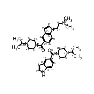 CC(C)N1CCN(C(=O)c2ccc3[nH]ccc3c2)CC1.CC(C)N1CCN(C(=O)c2ccc3c(ccn3CCN(C)C)c2)CC1